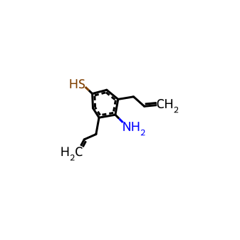 C=CCc1cc(S)cc(CC=C)c1N